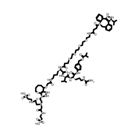 CC(C)C(=O)OCc1ccc(NC(=O)[C@H](CCCNC(N)=O)NC(=O)[C@@H](NC(=O)[C@@H](CCCCNC(=O)COC2CCCCCC3=C2NNN3CCN(CC(=O)NCCS(=O)(=O)O)CC(=O)NCCS(=O)(=O)O)NC(=O)CCOCCOCCOCCOCCNC(=O)CCC(=O)N2Cc3ccccc3C3=C(NNN3C(C)C)c3ccccc32)C(C)C)cc1